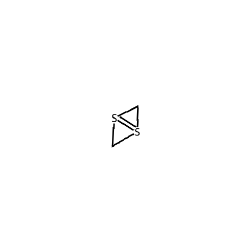 C1S2=S1C2